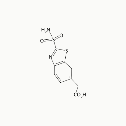 NS(=O)(=O)c1nc2ccc(CC(=O)O)cc2s1